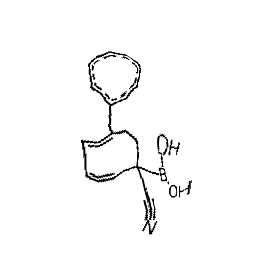 N#CC1(B(O)O)C=CC=C(c2ccccc2)C1